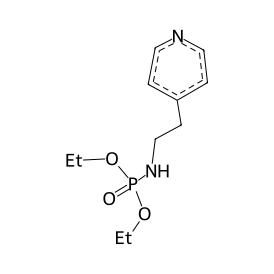 CCOP(=O)(NCCc1ccncc1)OCC